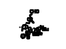 C=C1C[C@H](CCC=O)OC1CC[C@H]1C[C@@H](C)C(=C)[C@@H](C[C@@H]2O[C@H](C[C@@H](CO[Si](C)(C)C(C)(C)C)O[Si](C)(C)C(C)(C)C)[C@H](OC)[C@H]2CS(=O)(=O)c2ccccc2)O1